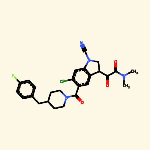 CN(C)C(=O)C(=O)C1CN(C#N)c2cc(Cl)c(C(=O)N3CCC(Cc4ccc(F)cc4)CC3)cc21